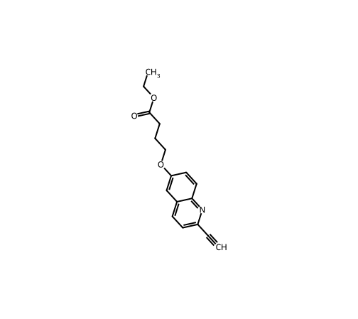 C#Cc1ccc2cc(OCCCC(=O)OCC)ccc2n1